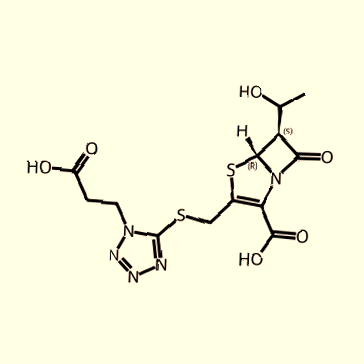 CC(O)[C@H]1C(=O)N2C(C(=O)O)=C(CSc3nnnn3CCC(=O)O)S[C@H]12